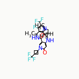 C[C@@H](NC(=O)c1cn(C23CC(C(F)(F)F)(C2)C3)c(=O)cc1N[C@H]1[C@@H]2CN(C)C[C@@H]21)c1cccc(C(F)F)c1F